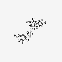 COC(=O)[C@@H](NP(=O)(OC[C@@H]1OC[C@H](n2cc(C)c(=O)[nH]c2=O)O1)Oc1ccc(Br)cc1)C(C)C